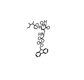 CCC(C)C(C)C1CC[C@H](n2cc(CNCC(=O)OC(=O)OCC3c4ccccc4-c4ccccc43)c(=O)[nH]c2=O)O1